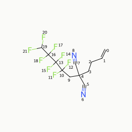 C=CCCC(C#N)(C#N)CC(F)(F)C(F)(F)C(F)(F)C(F)F